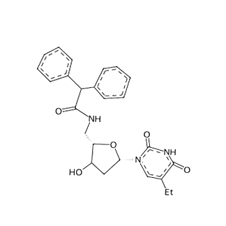 CCc1cn([C@@H]2CC(O)[C@H](CNC(=O)C(c3ccccc3)c3ccccc3)O2)c(=O)[nH]c1=O